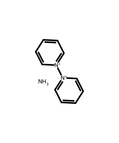 N.c1cc[n+](-[n+]2ccccc2)cc1